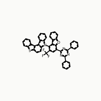 FC(F)(F)c1cc(-c2nc(-c3ccccc3)nc(-c3ccccc3)n2)c2oc3ccccc3c2c1-n1c2ccccc2c2c3c(ccc21)sc1ccccc13